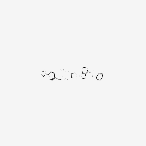 CN(Cc1cccc(F)c1)c1ncnc2c1ncn2[C@@H]1O[C@H](COCc2ccc(-n3cccn3)nc2)[C@@H](O)[C@H]1O